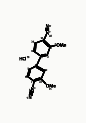 COc1cc(-c2ccc([N+]#N)c(OC)c2)ccc1[N+]#N.Cl